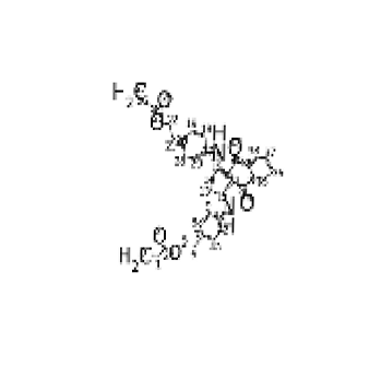 C=CC(=O)OCCc1ccc(Nc2ccc(Nc3ccc(CCOC(=O)C=C)cc3)c3c2C(=O)c2ccccc2C3=O)cc1